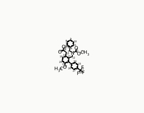 COC(=O)N(Cc1ccccc1)Cc1c(CC(=O)O)ccc(OC)c1-c1ccc(C(F)(F)F)cc1